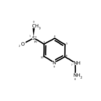 C[S@+]([O-])c1ccc(NN)nc1